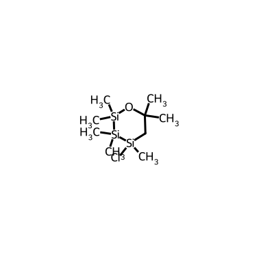 CC1(C)C[Si](C)(Cl)[Si](C)(C)[Si](C)(C)O1